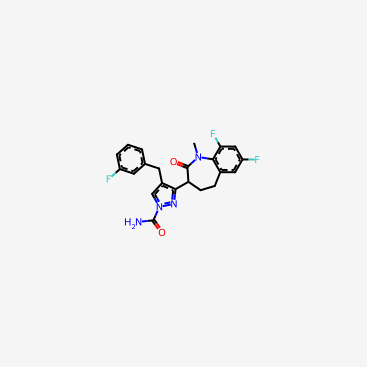 CN1C(=O)C(c2nn(C(N)=O)cc2Cc2cccc(F)c2)CCc2cc(F)cc(F)c21